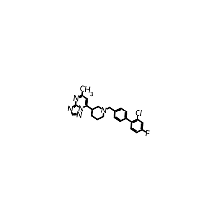 Cc1cc(C2CCCN(Cc3ccc(-c4ccc(F)cc4Cl)cc3)C2)n2ncnc2n1